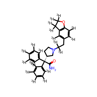 [2H]c1c([2H])c([2H])c(C(C(N)=O)(c2c([2H])c([2H])c([2H])c([2H])c2[2H])[C@@H]2CCN(C([2H])([2H])Cc3c([2H])c([2H])c4c(c3[2H])C([2H])([2H])C([2H])([2H])O4)C2)c([2H])c1[2H]